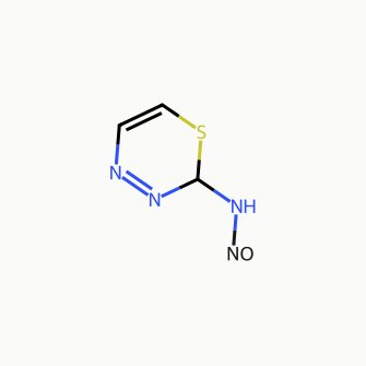 O=NNC1N=NC=CS1